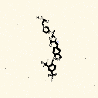 CN(C1=NC(=O)/C(=C\c2ccc3c(cnn3Cc3ccc(C(F)(F)F)cc3C(F)(F)F)c2)S1)[C@@H]1CCN(CC(N)=O)C1